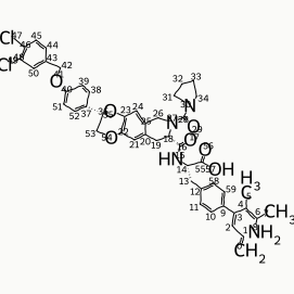 C=C/C=C(\C(C)=C(\C)N)c1ccc(C[C@H](NC(=O)[C@@H]2Cc3cc4c(cc3CN2C(=O)N2CCCC2)O[C@@H](c2ccc(OCc3ccc(Cl)c(Cl)c3)cc2)CO4)C(=O)O)cc1